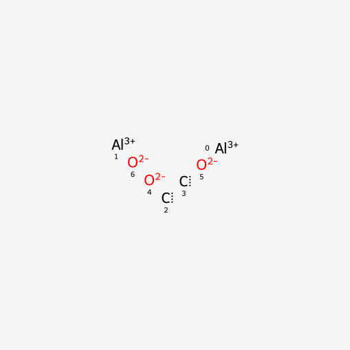 [Al+3].[Al+3].[C].[C].[O-2].[O-2].[O-2]